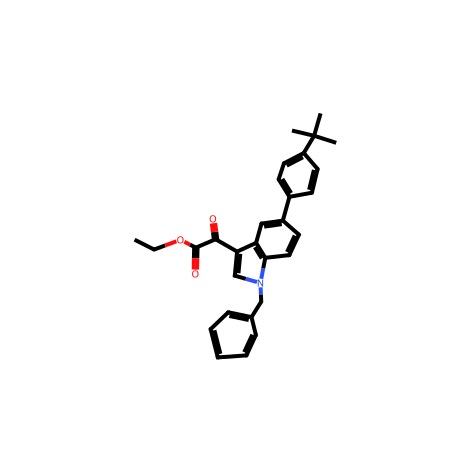 CCOC(=O)C(=O)c1cn(Cc2ccccc2)c2ccc(-c3ccc(C(C)(C)C)cc3)cc12